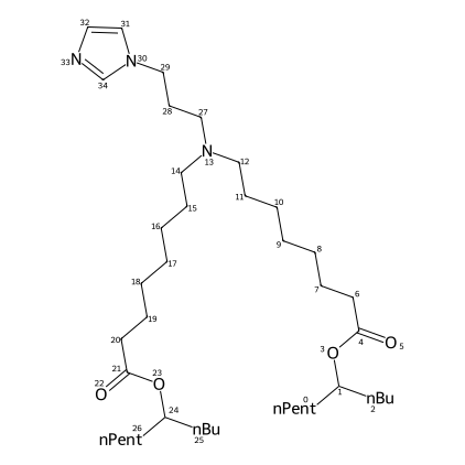 CCCCCC(CCCC)OC(=O)CCCCCCCN(CCCCCCCC(=O)OC(CCCC)CCCCC)CCCn1ccnc1